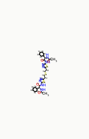 CC(=O)N[C@@H](C(=O)Nc1nnc(CCSCCc2nnc(NC(=O)[C@H](NC(C)=O)c3ccccc3)s2)s1)c1ccccc1